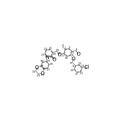 Cc1cc(C=O)c(OCc2cccc(Cl)c2)cc1OCc1cccn(-c2ccc3c(c2)OCCO3)c1=O